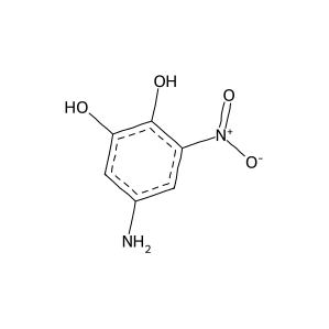 Nc1cc(O)c(O)c([N+](=O)[O-])c1